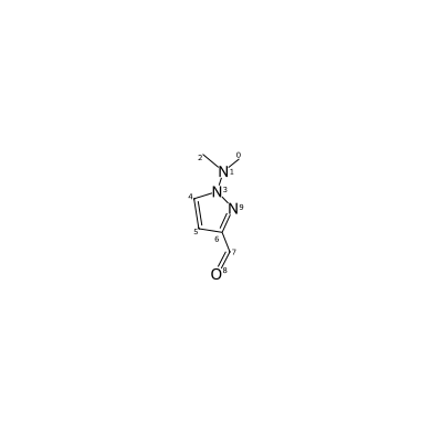 CN(C)n1ccc(C=O)n1